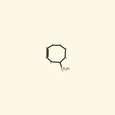 CCOC(=O)C1CC=CCCCC1